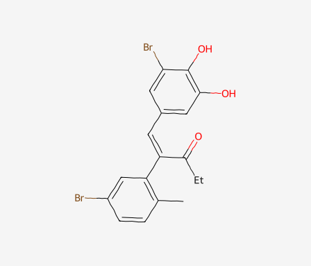 CCC(=O)/C(=C\c1cc(O)c(O)c(Br)c1)c1cc(Br)ccc1C